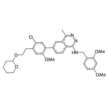 COc1ccc(CNc2nnc(C)c3cc(-c4cc(Cl)c(CCOC5CCCCO5)cc4OC)ccc23)c(OC)c1